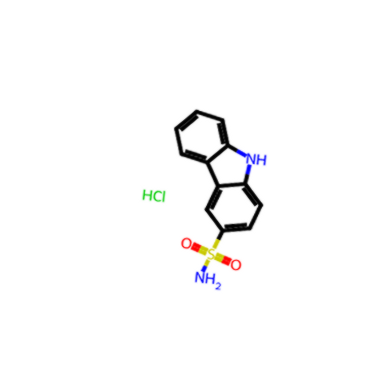 Cl.NS(=O)(=O)c1ccc2[nH]c3ccccc3c2c1